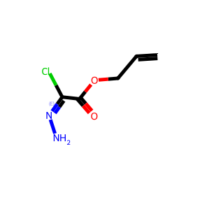 C=CCOC(=O)/C(Cl)=N\N